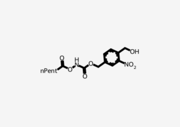 CCCCCC(=O)ONC(=O)OCc1ccc(CO)c([N+](=O)[O-])c1